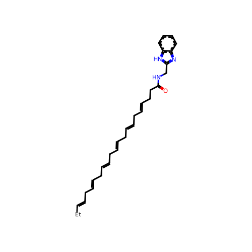 CCC=CCC=CCC=CCC=CCC=CCC=CCCC(=O)NCc1nc2ccccc2[nH]1